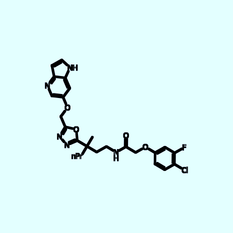 CCCC(C)(CCNC(=O)COc1ccc(Cl)c(F)c1)c1nnc(COc2cnc3cc[nH]c3c2)o1